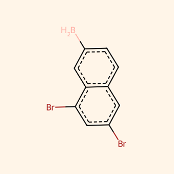 Bc1ccc2cc(Br)cc(Br)c2c1